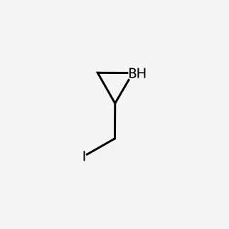 ICC1BC1